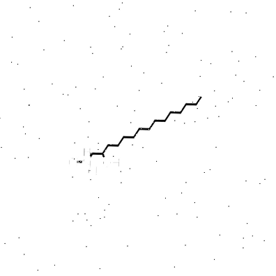 CCCCCCCCCCCCCC(O)C[SiH](Cl)Cl